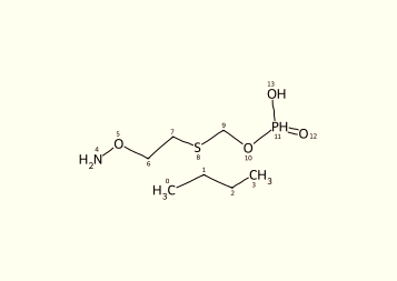 CCCC.NOCCSCO[PH](=O)O